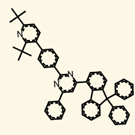 CC(C)(C)c1ccc(-c2ccc(-c3nc(-c4ccccc4)cc(-c4cccc5c4-c4ccccc4C5(c4ccccc4)c4ccccc4)n3)cc2)c(C(C)(C)C)n1